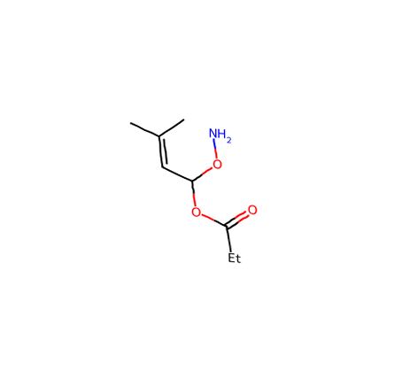 CCC(=O)OC(C=C(C)C)ON